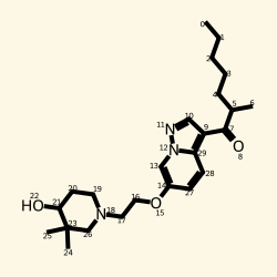 CCCCCC(C)C(=O)c1cnn2cc(OCCN3CCC(O)C(C)(C)C3)ccc12